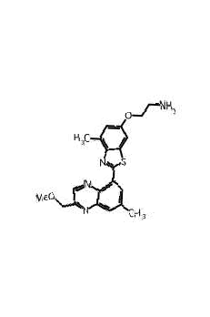 COCc1cnc2c(-c3nc4c(C)cc(OCCN)cc4s3)cc(C)cc2n1